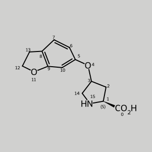 O=C(O)[C@@H]1CC(Oc2ccc3c(c2)OCC3)CN1